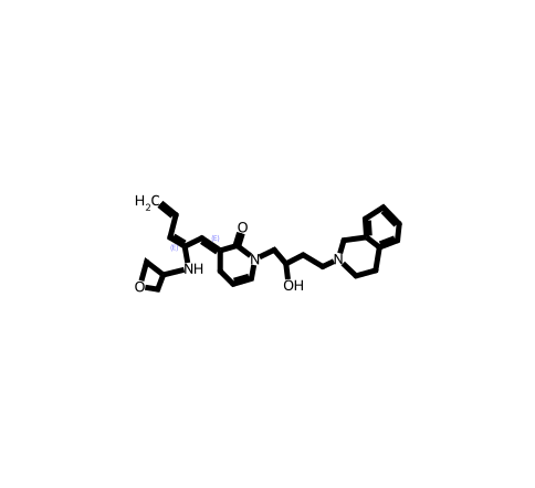 C=C/C=C(\C=C1/CC=CN(CC(O)CCN2CCc3ccccc3C2)C1=O)NC1COC1